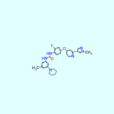 Cc1cc(NC(=O)Nc2ccc(Oc3ccnc(-c4cnn(C)c4)c3)cc2F)cc(N2CCCCC2)c1